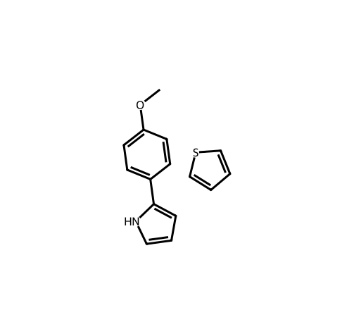 COc1ccc(-c2ccc[nH]2)cc1.c1ccsc1